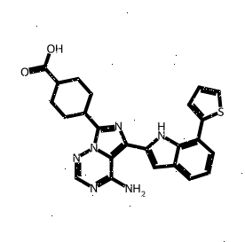 Nc1ncnn2c(C3CCC(C(=O)O)CC3)nc(-c3cc4cccc(-c5cccs5)c4[nH]3)c12